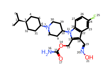 CC(C)[C@H]1CC[C@@H](N2CCC(n3c(COC(N)=O)c(C=NO)c4cc(F)ccc43)CC2)CC1